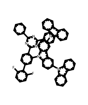 Fc1cccc(F)c1-c1ccc(-c2nc(-c3ccccc3)nc(-c3ccccc3)n2)c(-n2c3ccc(-n4c5ccccc5c5ccccc54)cc3c3cc(-n4c5ccccc5c5ccccc54)ccc32)c1